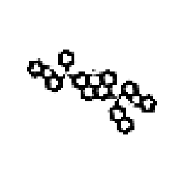 c1ccc(N(c2cc3c4c(ccc5cc(N(c6ccc7ccccc7c6)c6cccc7c6oc6ccccc67)c6cccc(c6c54)O3)c2)c2cccc3c2oc2ccccc23)cc1